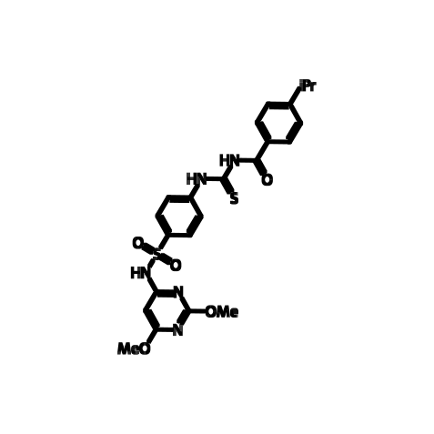 COc1cc(NS(=O)(=O)c2ccc(NC(=S)NC(=O)c3ccc(C(C)C)cc3)cc2)nc(OC)n1